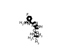 C[C@@H](NC(=O)Oc1c[nH]c2ncc(-c3nn(C)c4cc(F)ccc34)nc12)C(C)(C)F